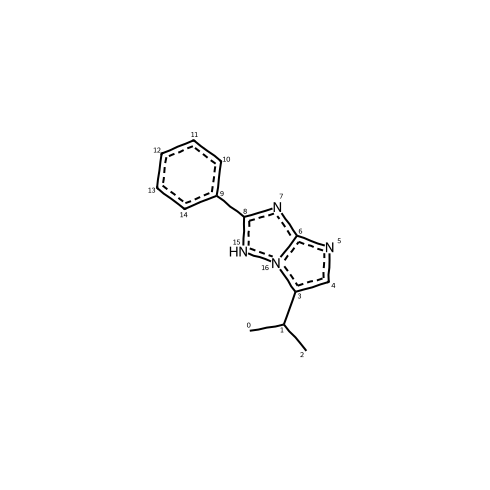 CC(C)c1cnc2nc(-c3ccccc3)[nH]n12